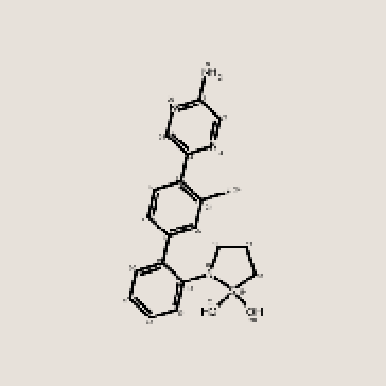 Nc1cnc(-c2ccc(-c3ccccc3N3CCCS3(O)O)cc2F)cn1